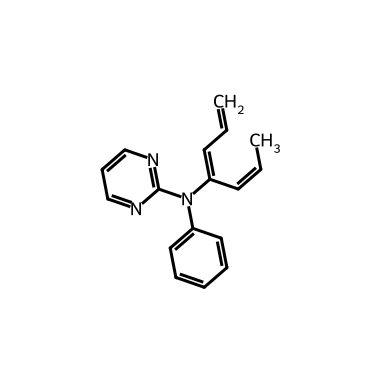 C=C/C=C(\C=C/C)N(c1ccccc1)c1ncccn1